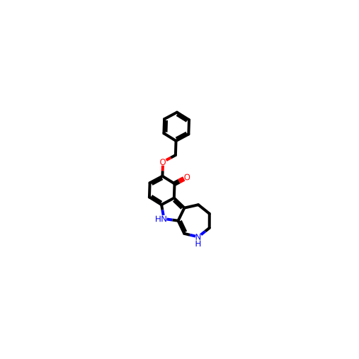 O=C1C(OCc2ccccc2)=CC=c2[nH]c3c(c21)CCCNC=3